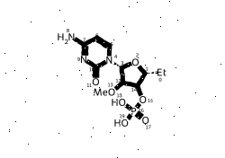 CC[C@H]1O[C@@H](n2ccc(N)nc2=O)C(OC)C1OP(=O)(O)O